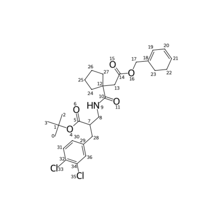 CC(C)(C)OC(=O)C(CNC(=O)C1(CC(=O)OCC2=CC=CCC2)CCCC1)Cc1ccc(Cl)c(Cl)c1